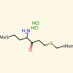 CCCCCCCCCCSCCC(=O)C(N)CCSC.Cl.Cl